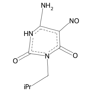 CC(C)Cn1c(=O)[nH]c(N)c(N=O)c1=O